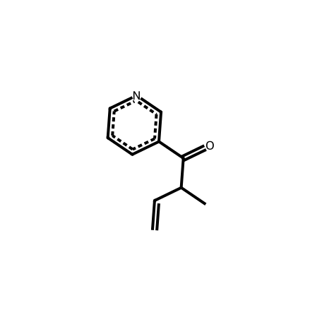 C=CC(C)C(=O)c1cccnc1